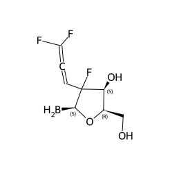 B[C@@H]1O[C@H](CO)[C@H](O)C1(F)C=C=C(F)F